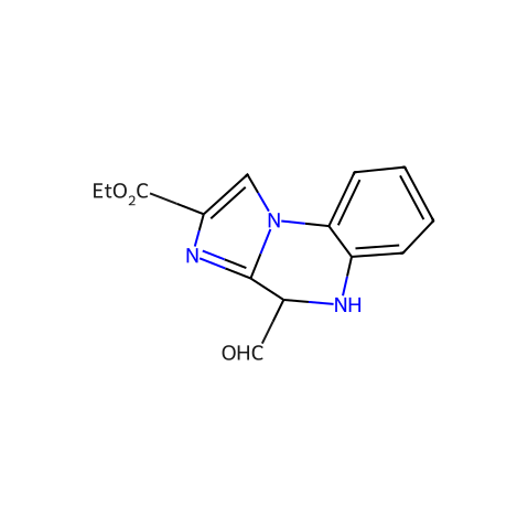 CCOC(=O)c1cn2c(n1)C(C=O)Nc1ccccc1-2